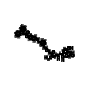 CN(CCNC[C@H](O)c1ccc(O)c2c1OCC(=O)N2)C(=O)CCOCCc1cccc(CCN2CC3CC(OC(=O)Nc4ccccc4-c4ccccc4)CC3C2)c1